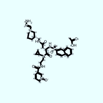 CC(=O)O.NN=CN1CCC[C@@H](CNC(=O)C[C@H](NS(=O)(=O)c2ccc3ccccc3c2)C(=O)N(CCNC(=O)c2ccc[n+]([O-])c2)C2CC2)C1